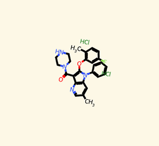 Cc1cnc2c(C(=O)N3CCNCC3)c(Oc3cc(F)ccc3C)n(-c3ccccc3)c2c1.Cl.Cl